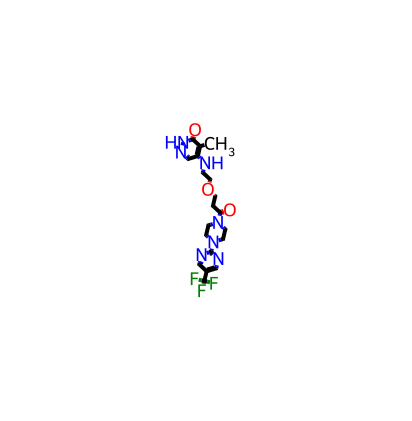 Cc1c(NCCOCCC(=O)N2CCN(c3ncc(C(F)(F)F)cn3)CC2)cn[nH]c1=O